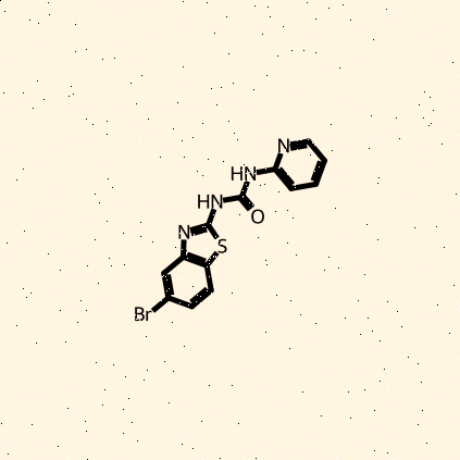 O=C(Nc1ccccn1)Nc1nc2cc(Br)ccc2s1